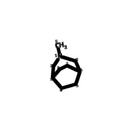 CN1CC2CCC(CC2)C1